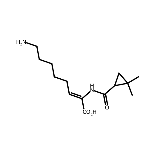 CC1(C)CC1C(=O)N/C(=C\CCCCCN)C(=O)O